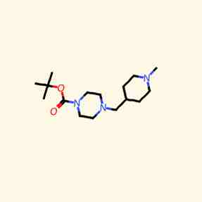 CN1CCC(CN2CCN(C(=O)OC(C)(C)C)CC2)CC1